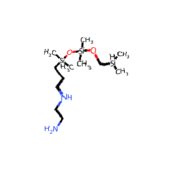 C[SiH](C)CO[Si](C)(C)O[Si](C)(C)CCCNCCN